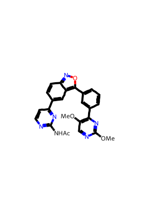 COc1ncc(OC)c(-c2cccc(-c3onc4ccc(-c5ccnc(NC(C)=O)n5)cc34)c2)n1